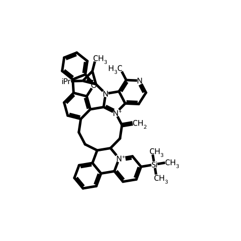 C=C1CC2C(CCc3ccc4c(oc5ccccc54)c3-c3n(C4=C(C(C)C)C4C)c4c(C)nccc4[n+]31)c1ccccc1-c1ccc([Si](C)(C)C)c[n+]12